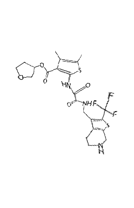 Cc1sc(NC(=O)C(=O)NCc2c(C(F)(F)F)sc3c2CCNC3)c(C(=O)OC2CCOC2)c1C